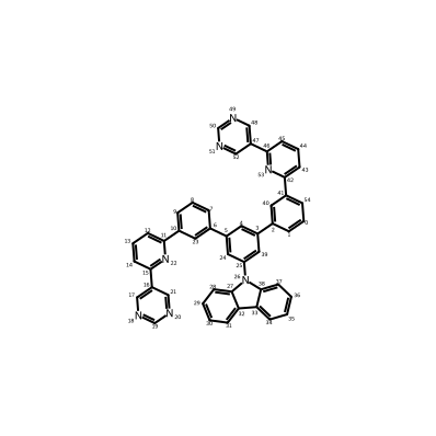 c1cc(-c2cc(-c3cccc(-c4cccc(-c5cncnc5)n4)c3)cc(-n3c4ccccc4c4ccccc43)c2)cc(-c2cccc(-c3cncnc3)n2)c1